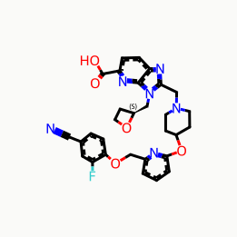 N#Cc1ccc(OCc2cccc(OC3CCN(Cc4nc5ccc(C(=O)O)nc5n4C[C@@H]4CCO4)CC3)n2)c(F)c1